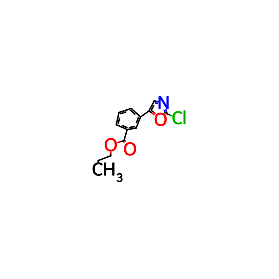 CCCOC(=O)c1cccc(-c2cnc(Cl)o2)c1